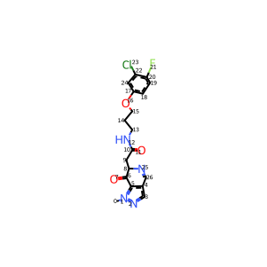 Cn1ncc2c1C(=O)C(CC(=O)NCCCOc1ccc(F)c(Cl)c1)N=C2